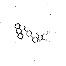 CC1=NC2(CCCN(C3CCN(C(=O)c4c5ccccc5cc5ccccc45)CC3)C2)C(=O)N1CCO